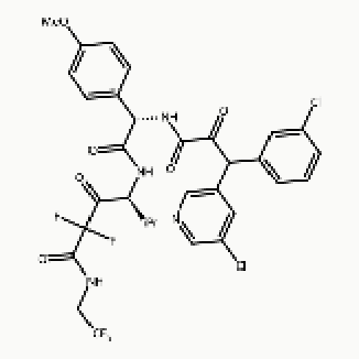 COc1ccc([C@H](NC(=O)C(=O)C(c2cccc(Cl)c2)c2cncc(Cl)c2)C(=O)N[C@H](C(=O)C(F)(F)C(=O)NCC(F)(F)F)C(C)C)cc1